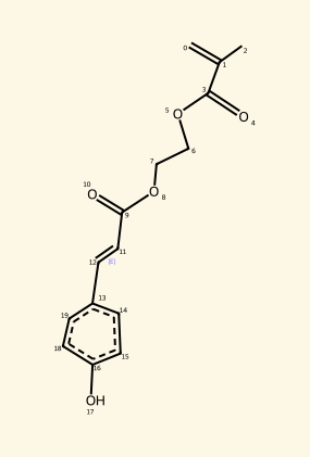 C=C(C)C(=O)OCCOC(=O)/C=C/c1ccc(O)cc1